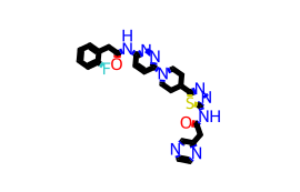 O=C(Cc1ccccc1F)Nc1ccc(N2CCC(c3nnc(NC(=O)Cc4cnccn4)s3)CC2)nn1